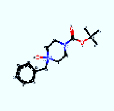 CC(C)(C)OC(=O)N1CC[N+]([O-])(Cc2ccccc2)CC1